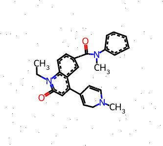 CCn1c(=O)cc(C2=CCN(C)C=C2)c2cc(C(=O)N(C)c3ccccc3)ccc21